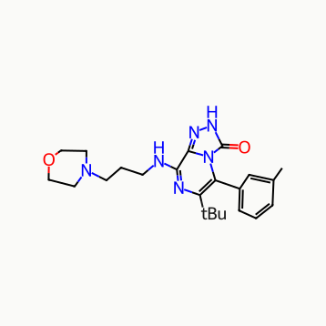 Cc1cccc(-c2c(C(C)(C)C)nc(NCCCN3CCOCC3)c3n[nH]c(=O)n23)c1